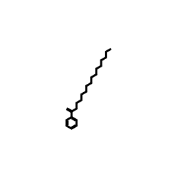 C=C(CCCCCCCCCCCCCCC)c1ccccc1